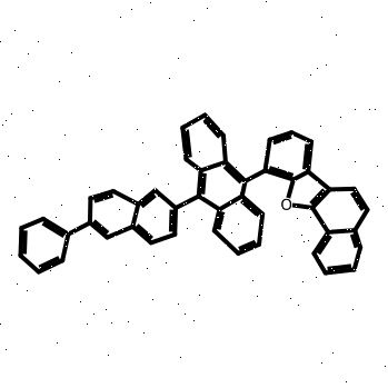 c1ccc(-c2ccc3cc(-c4c5ccccc5c(-c5cccc6c5oc5c7ccccc7ccc65)c5ccccc45)ccc3c2)cc1